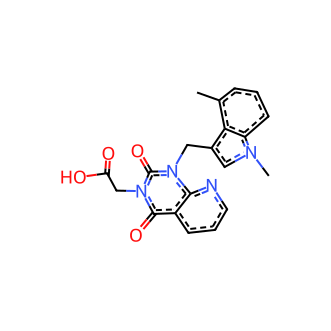 Cc1cccc2c1c(Cn1c(=O)n(CC(=O)O)c(=O)c3cccnc31)cn2C